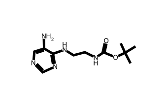 CC(C)(C)OC(=O)NCCNc1ncncc1N